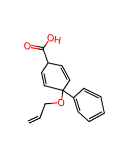 C=CCOC1(c2ccccc2)C=CC(C(=O)O)C=C1